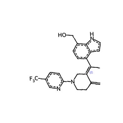 C=C1CCN(c2ccc(C(F)(F)F)cn2)C/C1=C(/C)c1ccc(CO)c2[nH]ccc12